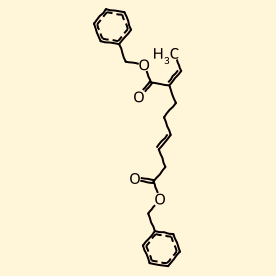 CC=C(CCC=CCC(=O)OCc1ccccc1)C(=O)OCc1ccccc1